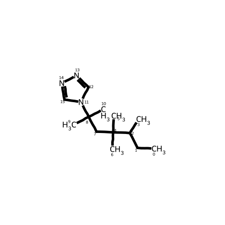 CCC(C)C(C)(C)CC(C)(C)n1cnnc1